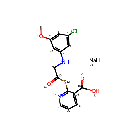 COc1cc(Cl)cc(NCC(=O)Sc2ncccc2C(=O)O)c1.[NaH]